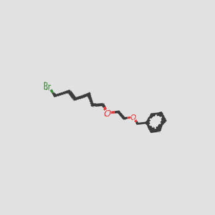 BrCCCCCCOCCOCc1ccccc1